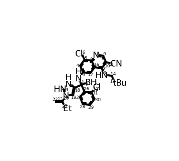 BC(Nc1cc(Cl)c2ncc(C#N)c(NCC(C)(C)C)c2c1)(C1=CN(C(=C)CC)NN1)c1ccccc1Cl